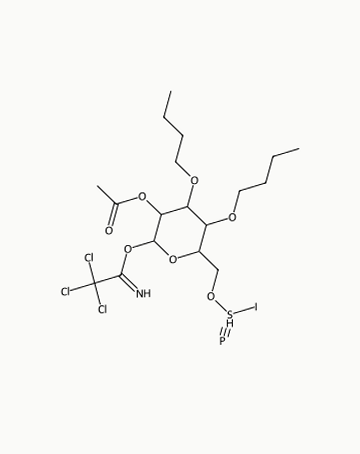 CCCCOC1C(CO[SH](#P)I)OC(OC(=N)C(Cl)(Cl)Cl)C(OC(C)=O)C1OCCCC